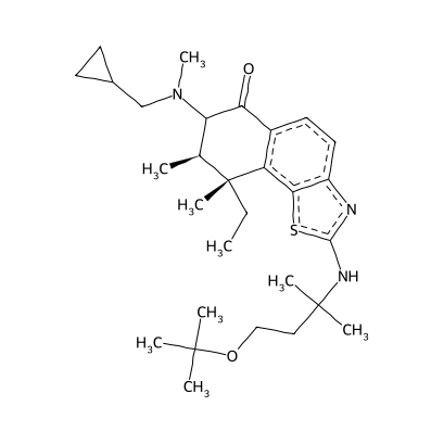 CC[C@@]1(C)c2c(ccc3nc(NC(C)(C)CCOC(C)(C)C)sc23)C(=O)C(N(C)CC2CC2)[C@@H]1C